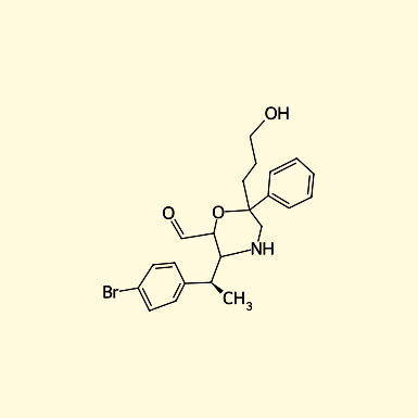 C[C@@H](c1ccc(Br)cc1)C1NCC(CCCO)(c2ccccc2)OC1C=O